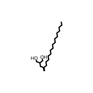 C=C(CCCCCCCCCCCCCCCC)CC(CO)CO